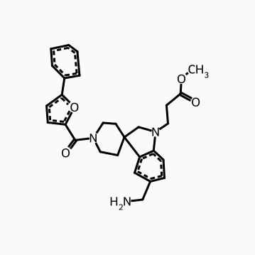 COC(=O)CCN1CC2(CCN(C(=O)c3ccc(-c4ccccc4)o3)CC2)c2cc(CN)ccc21